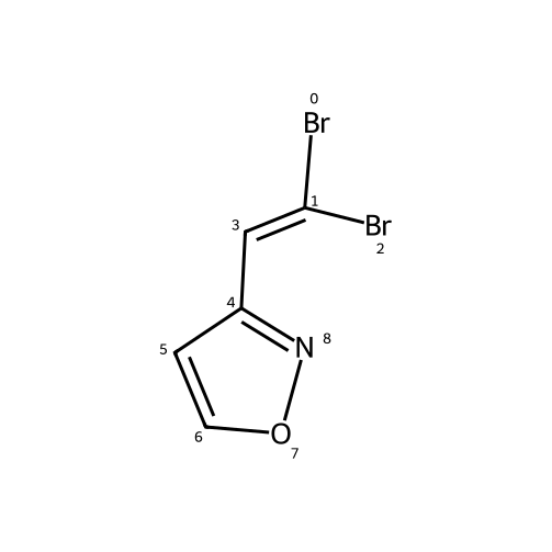 BrC(Br)=Cc1ccon1